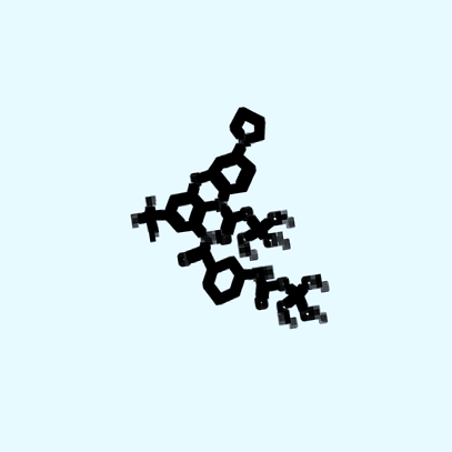 CC(C)(C)OC(=O)NC1CCCC(C(=O)Nc2cc(C(F)(F)F)cc3c2N(C(=O)OC(C)(C)C)c2ccc(N4CCCC4)cc2S3)C1